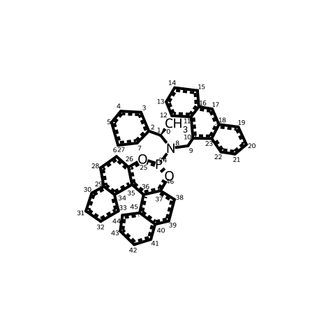 C[C@H](c1ccccc1)N(Cc1c2ccccc2cc2ccccc12)p1oc2ccc3ccccc3c2c2c(ccc3ccccc32)o1